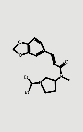 CCC(CC)N1CCC(N(C)C(=O)C=Cc2ccc3c(c2)OCO3)C1